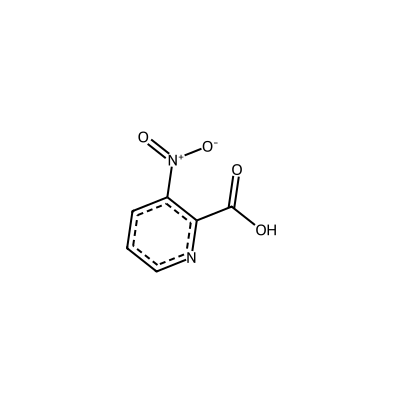 O=C(O)c1ncccc1[N+](=O)[O-]